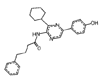 O=C(CCCc1ccccc1)Nc1ncc(-c2ccc(O)cc2)nc1C1CCCCC1